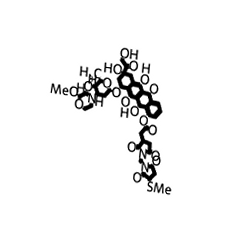 CO[C@H]1OCCN2[C@@H]1O[C@@H]1[C@H](C)O[C@@H](O[C@H]3C[C@](O)(C(=O)CO)Cc4c(O)c5c(c(O)c43)C(=O)c3c(OC(=O)CC4CC(=O)N(CN6C(=O)CC(SC)C6=O)C4=O)cccc3C5=O)C[C@@H]12